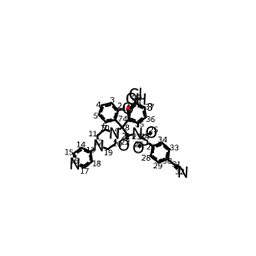 COc1ccccc1C1(N2CCN(c3ccncc3)CC2)C(=O)N(S(=O)(=O)c2ccc(C#N)cc2)c2ccc(Cl)cc21